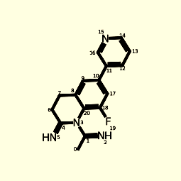 CC(=N)N1C(=N)CCc2cc(-c3cccnc3)cc(F)c21